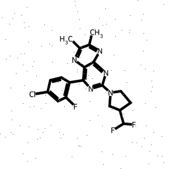 Cc1nc2nc(N3CCC(C(F)F)C3)nc(-c3ccc(Cl)cc3F)c2nc1C